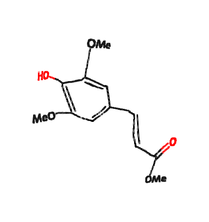 COC(=O)/C=C/c1cc(OC)c(O)c(OC)c1